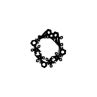 O=C1c2ccc3c4ccc5c6c7ccc(c8ccc(c2c38)C(=O)N1[C@@H]1CCCCC1n1c(=O)c2cc3c(=O)n(c(=O)c3cc2c1=O)[C@@H]1CCCCC1n1c(=O)c2cc3c(=O)n(c(=O)c3cc2c1=O)[C@@H]1CCCC[C@H]1N(C5=O)C7=O)c64